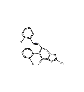 Cc1cc2nc(/C=C/c3ccccc3Cl)n(-c3ccccc3Cl)c(=O)c2s1